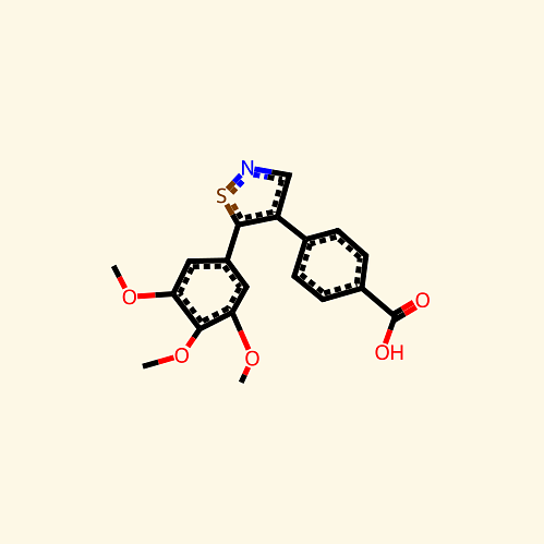 COc1cc(-c2sncc2-c2ccc(C(=O)O)cc2)cc(OC)c1OC